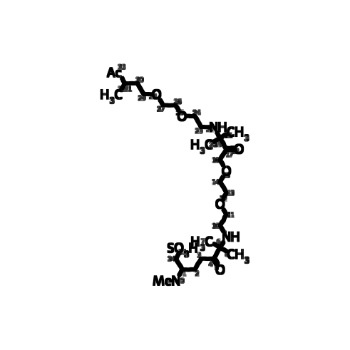 CNC(CCC(=O)C(C)(C)NCCOCCOCC(=O)C(C)(C)NCCOCCOCCC(C)C(C)=O)CS(=O)(=O)O